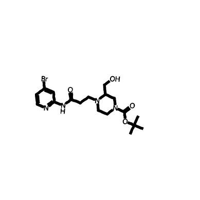 CC(C)(C)OC(=O)N1CCN(CCC(=O)Nc2cc(Br)ccn2)C(CO)C1